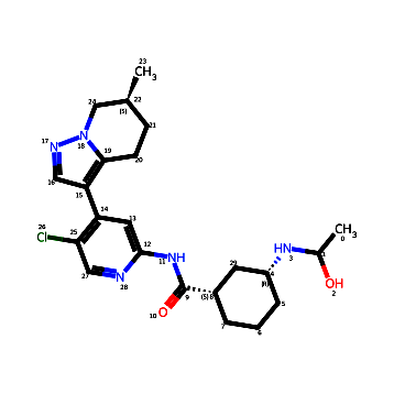 CC(O)N[C@@H]1CCC[C@H](C(=O)Nc2cc(-c3cnn4c3CC[C@H](C)C4)c(Cl)cn2)C1